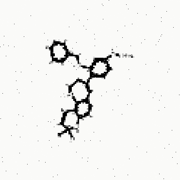 CCCCCCOc1ccc(C2=Cc3ccc4c(c3OCC2)C=CC(C)(C)O4)c(OCc2ccccc2)c1